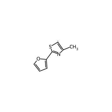 Cc1[c]sc(-c2ccco2)n1